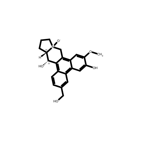 COc1cc2c3c(c4ccc(CO)cc4c2cc1O)[C@H](O)[C@@H]1CCC[N+]1([O-])C3